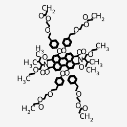 C=CC(=O)OCCOCCc1ccc(Oc2cc3c4c(cc(Oc5ccc(CCOCCOC(=O)C=C)cc5)c5c6c(Oc7ccc(CCOCCOC(=O)C=C)cc7)cc7c8c(cc(Oc9ccc(CCOCCOC(=O)C=C)cc9)c(c2c45)c86)C(=O)N(C(C(=O)OCCC)C(C)CC)C7=O)C(=O)N(C(C(=O)OCCC)C(C)CC)C3=O)cc1